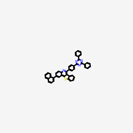 c1ccc(-c2nc(-c3ccccc3)nc(-c3ccc(-c4nc5ccc(-c6cccc7ccccc67)cc5c5sc6ccccc6c45)cc3)n2)cc1